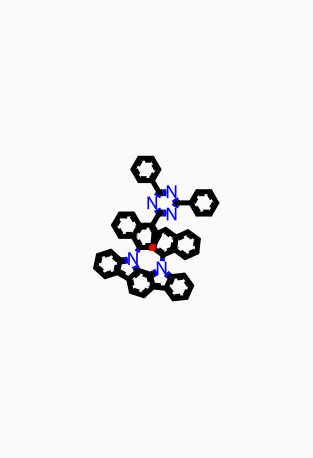 c1ccc(-c2nc(-c3ccccc3)nc(-c3ccc(-n4c5ccccc5c5ccc6c7ccccc7n(-c7cccc8ccccc78)c6c54)c4ccccc34)n2)cc1